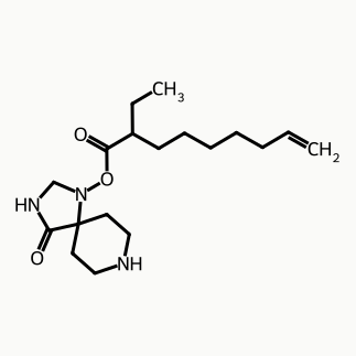 C=CCCCCCC(CC)C(=O)ON1CNC(=O)C12CCNCC2